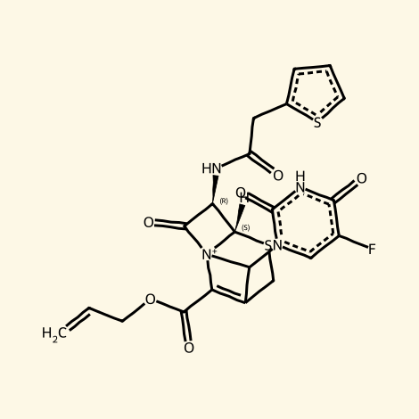 C=CCOC(=O)C1=C2CS[C@H]3[C@H](NC(=O)Cc4cccs4)C(=O)[N+]13C2n1cc(F)c(=O)[nH]c1=O